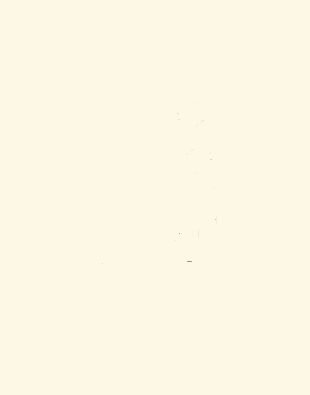 C[C@H](CCC(=O)O)[C@H]1CC[C@H]2[C@@H]3CC[C@@H]4C(F)[C@](O)(c5ccc(-c6ccccc6)cc5)CC[C@]4(C)[C@H]3CC[C@]12C